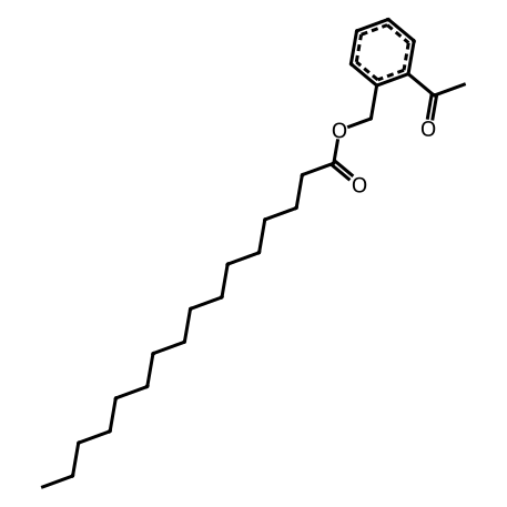 CCCCCCCCCCCCCCCC(=O)OCc1ccccc1C(C)=O